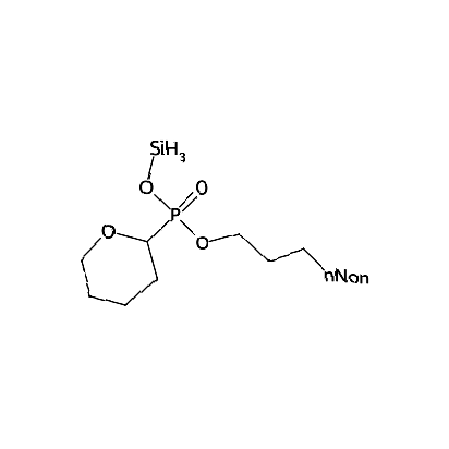 CCCCCCCCCCCCOP(=O)(O[SiH3])C1CCCCO1